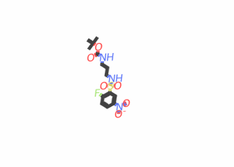 CC(C)(C)OC(=O)NCCCNS(=O)(=O)c1cc([N+](=O)[O-])ccc1F